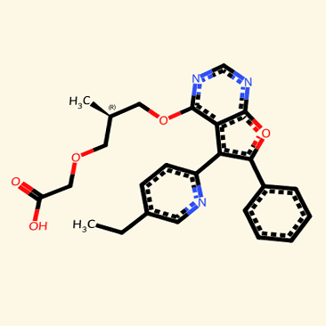 CCc1ccc(-c2c(-c3ccccc3)oc3ncnc(OC[C@H](C)COCC(=O)O)c23)nc1